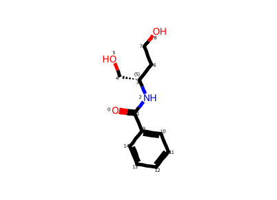 O=C(N[C@H](CO)CCO)c1ccccc1